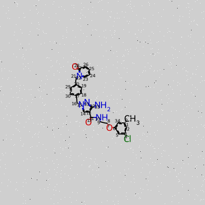 Cc1cc(Cl)cc(OCCNC(=O)c2cn(Cc3ccc(Cn4ccccc4=O)cc3)nc2N)c1